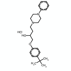 CC(C)(C)c1ccc(OCC(O)CCN2CCN(c3ccccc3)CC2)cc1.Cl